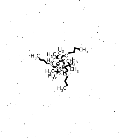 CCCCOC[Si]1(C(C)(C)C)O[Si](COCCCC)(C(C)(C)C)O[Si](COCCCC)(C(C)(C)C)O1